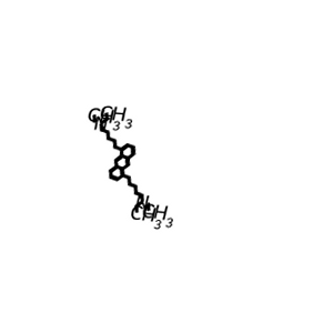 CCN(CC)CCCCCc1cccc2cc3c(CCCCCN(CC)CC)cccc3cc12